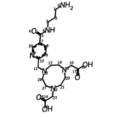 NCCCNC(=O)c1ccc(CN2CCN(CC(=O)O)CCN(CC(=O)O)CC2)nc1